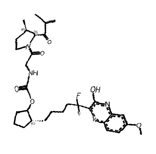 COc1ccc2nc(C(F)(F)CCCC[C@@H]3CCCC3OC(=O)NCC(=O)N3CC[C@@H](C)[C@H]3C(=O)C(C)C)c(O)nc2c1